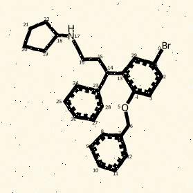 Brc1ccc(OCc2ccccc2)c(C(CCNC2CCCC2)c2ccccc2)c1